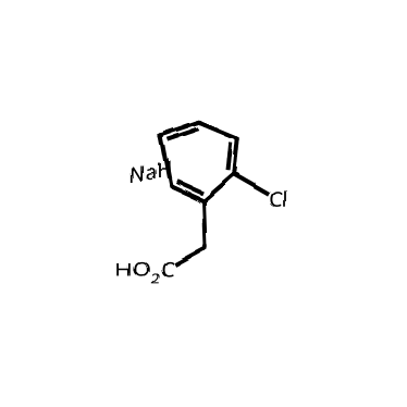 O=C(O)Cc1ccccc1Cl.[NaH]